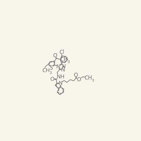 CCOC(=O)CCCCn1c(C(=O)NCc2nnc(C)n2-c2sc(CC)cc2C(=O)c2ccccc2Cl)cc2ccccc21